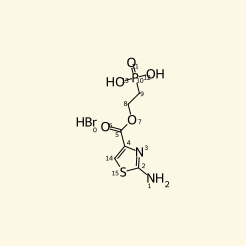 Br.Nc1nc(C(=O)OCCP(=O)(O)O)cs1